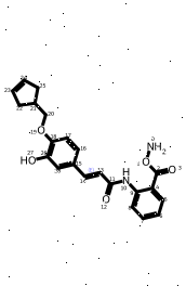 NOC(=O)c1ccccc1NC(=O)/C=C/c1ccc(OCC2CC=CC2)c(O)c1